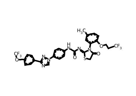 Cc1ccc(OCCC(F)(F)F)c(N2C(=O)CS/C2=N\C(=O)Nc2ccc(-n3cnc(-c4ccc(OC(F)(F)F)cc4)n3)cc2)c1